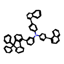 c1ccc(C2(c3ccccc3)c3ccccc3-c3c(-c4cccc(N(c5ccc(-c6cccc7ccccc67)cc5)c5ccc(-c6cccc7ccccc67)cc5)c4)cccc32)cc1